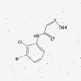 O=C(/C=N\O)Nc1cccc(Br)c1Cl